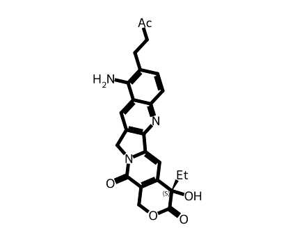 CC[C@@]1(O)C(=O)OCc2c1cc1n(c2=O)Cc2cc3c(N)c(CCC(C)=O)ccc3nc2-1